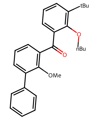 CCCCOc1c(C(=O)c2cccc(-c3ccccc3)c2OC)cccc1C(C)(C)C